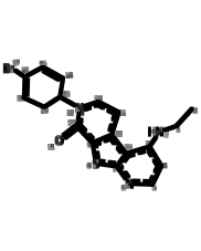 CCNc1ccnc2sc3c(=O)n(C4C=CC(Br)=CC4)ccc3c12